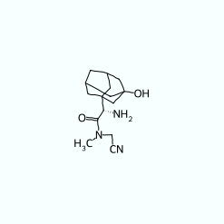 CN(CC#N)C(=O)[C@@H](N)C12CC3CC(CC(O)(C3)C1)C2